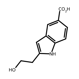 O=C(O)c1ccc2[nH]c(CCO)cc2c1